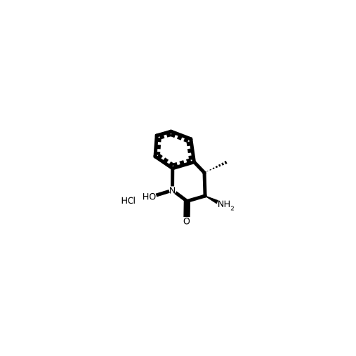 C[C@H]1c2ccccc2N(O)C(=O)[C@@H]1N.Cl